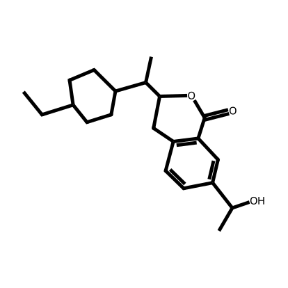 CCC1CCC(C(C)C2Cc3ccc(C(C)O)cc3C(=O)O2)CC1